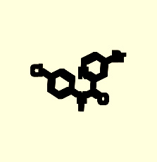 CN(C(=O)c1cc(Br)ccn1)c1ccc(Cl)cc1